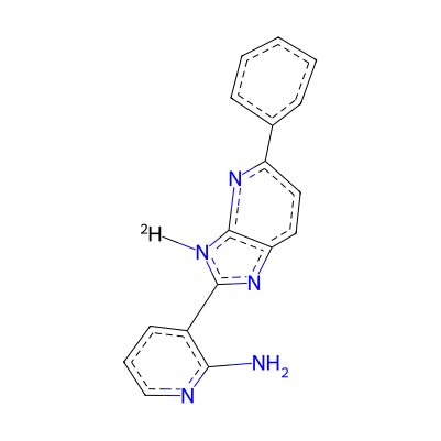 [2H]n1c(-c2cccnc2N)nc2ccc(-c3ccccc3)nc21